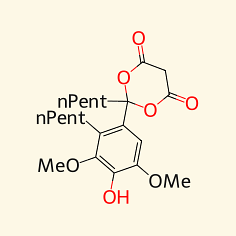 CCCCCc1c(C2(CCCCC)OC(=O)CC(=O)O2)cc(OC)c(O)c1OC